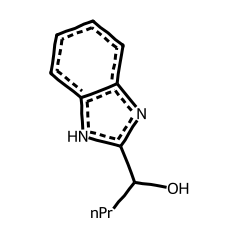 CCCC(O)c1nc2ccccc2[nH]1